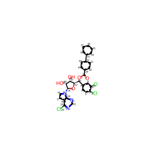 O=C(OC(c1ccc(Cl)c(Cl)c1)[C@H]1O[C@@H](n2ccc3c(Cl)ncnc32)[C@H](O)[C@@H]1O)c1ccc(-c2ccccc2)cc1